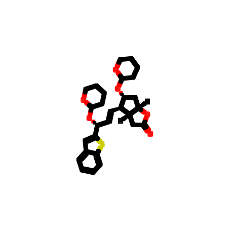 O=C1C[C@@H]2[C@@H](C=C[C@@H](OC3CCCCO3)c3cc4ccccc4s3)[C@H](OC3CCCCO3)C[C@@H]2O1